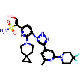 Cc1cc(-c2cn(-c3ccc(C(=CO)S(N)(=O)=O)nc3N3CCC4(CC3)CC4)nn2)cc(N2CCC(F)(F)CC2)n1